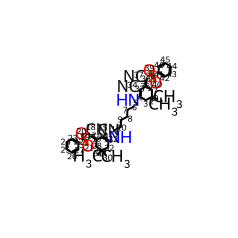 CC1(C)CC(NCCCCCCNC2=C(C#N)/C(=C(\C#N)S(=O)(=O)c3ccccc3)CC(C)(C)C2)=C(C#N)/C(=C(\C#N)S(=O)(=O)c2ccccc2)C1